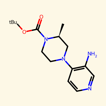 C[C@H]1CN(c2ccncc2N)CCN1C(=O)OC(C)(C)C